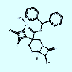 CCCOc1c(C2(C(=O)OC(c3ccccc3)c3ccccc3)CS[C@@H]3C(N)C(=O)N3C2)c(=O)c1=O